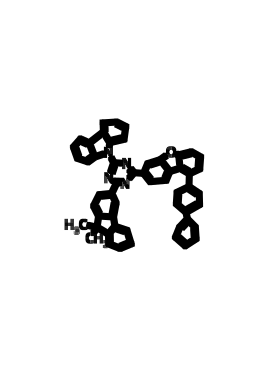 CC1(C)c2ccccc2-c2cc(-c3nc(-c4ccc5c(c4)oc4cccc(-c6ccc(-c7ccccc7)cc6)c45)nc(-n4c5ccccc5c5ccccc54)n3)ccc21